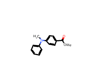 COC(=O)c1ccc(N(C)c2ccccc2)cc1